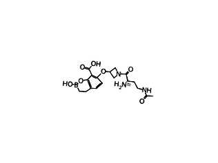 CC(=O)NCC[C@H](N)C(=O)N1CC(Oc2ccc3c(c2C(=O)O)OB(O)CC3)C1